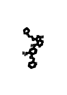 Cc1cc(Nc2ncnc3[nH]nc(OCCN4CCCC4)c23)ccc1OCc1ccccn1